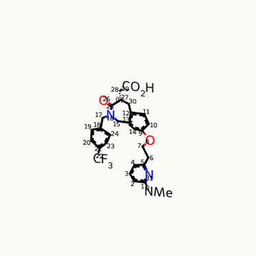 CNc1cccc(CCOc2ccc3c(c2)CN(Cc2ccc(C(F)(F)F)cc2)C(=O)[C@H](CC(=O)O)C3)n1